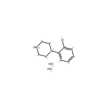 Cl.Cl.Clc1nccnc1N1CCNCC1